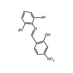 CC(C)c1cccc(C(C)C)c1N=Cc1ccc([N+](=O)[O-])cc1O